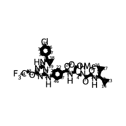 COC(=O)[C@H](CNC(=O)C(=O)NC(C1CC1)C1CC1)NC(=O)c1ccc(Nc2nc(NC3(c4ccc(Cl)cc4)CC3)nc(OCC(F)(F)F)n2)cc1